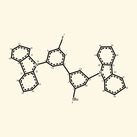 CC(C)(C)c1cc(-c2cc(F)cc(-n3c4ccccc4c4ccccc43)c2)cc(-n2c3ccccc3c3ccccc32)c1